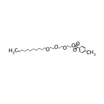 C=CCCCCCCCCCOCCOCCOCCOS(=O)(=O)c1ccc(C)cc1